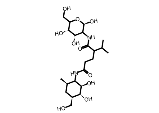 CC(C)C(CCC(=O)NC1[C@H](C)C[C@H](CO)[C@@H](O)[C@@H]1O)C(=O)NC1[C@H](O)OC(CO)[C@@H](O)[C@H]1O